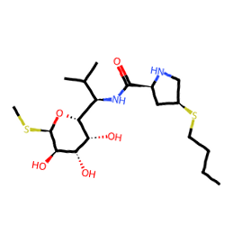 CCCCS[C@@H]1CN[C@H](C(=O)N[C@H](C(C)C)[C@H]2O[C@H](SC)[C@H](O)[C@@H](O)[C@H]2O)C1